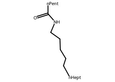 CCCCCCCCCCCCNC(=O)CCCCC